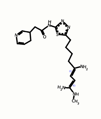 CN/C(N)=C/C=C(\N)CCCCc1nnc(NC(=O)CC2C=NC=CC2)s1